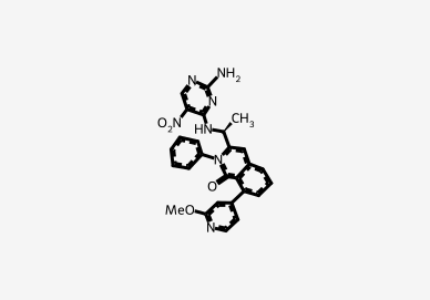 COc1cc(-c2cccc3cc([C@H](C)Nc4nc(N)ncc4[N+](=O)[O-])n(-c4ccccc4)c(=O)c23)ccn1